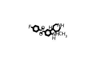 CC1CNCC[C@@H]2c3cc(S(=O)(=O)c4ccc(F)cc4)ccc3N[C@@H]12